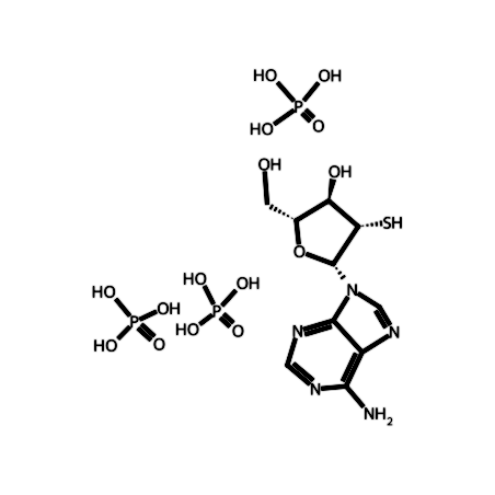 Nc1ncnc2c1ncn2[C@@H]1O[C@H](CO)[C@@H](O)[C@@H]1S.O=P(O)(O)O.O=P(O)(O)O.O=P(O)(O)O